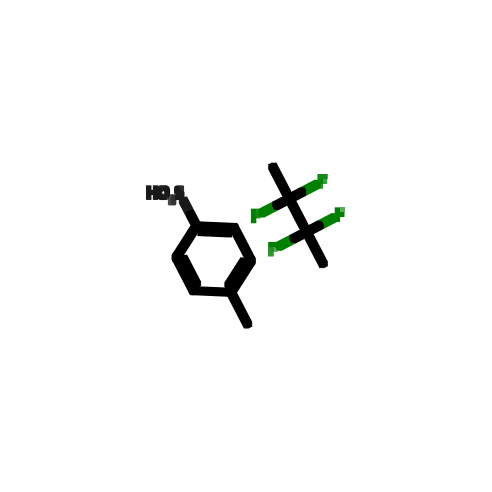 CC(F)(F)C(C)(F)F.Cc1ccc(S(=O)(=O)O)cc1